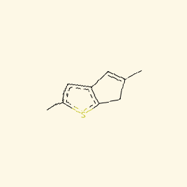 CC1=Cc2cc(C)sc2C1